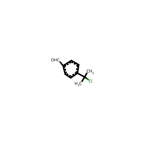 CC(C)(Cl)c1ccc(C=O)cc1